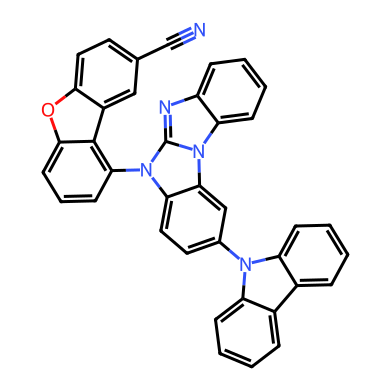 N#Cc1ccc2oc3cccc(-n4c5ccc(-n6c7ccccc7c7ccccc76)cc5n5c6ccccc6nc45)c3c2c1